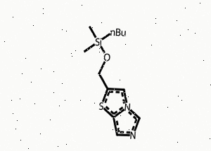 CCCC[Si](C)(C)OCc1cn2cncc2s1